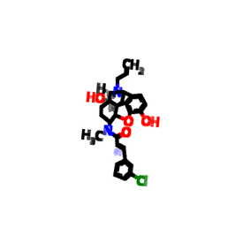 C=CCN1CC[C@]23c4c5ccc(O)c4OC2C(N(C)C(=O)/C=C/c2cccc(Cl)c2)CC[C@@]3(O)[C@H]1C5